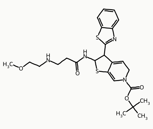 COCCNCCC(=O)NC1SC2=CN(C(=O)OC(C)(C)C)CC=C2C1c1nc2ccccc2s1